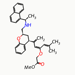 C=C(/C=C(\C=C(C)C)OCC(=O)OC)[C@@H]1C[C@H](CN[C@H](C)c2cccc3ccccc23)Oc2ccccc21